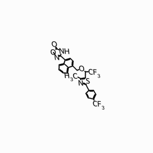 Cc1nc(-c2ccc(C(F)(F)F)cc2)sc1C(OCc1ccc(-c2noc(=O)[nH]2)c2ccccc12)C(F)(F)F